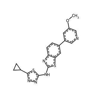 COc1cncc(-c2ccc3nc(Nc4nnc(C5CC5)s4)sc3c2)c1